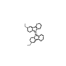 CCc1ccc2c(c1)c1ccccc1n2-n1c2ccccc2c2cc(CC)ccc21